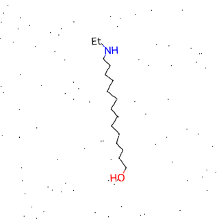 CCNCCCCCCCCCCCCCCO